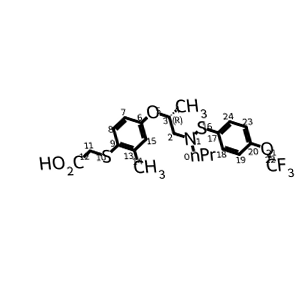 CCCN(C[C@@H](C)Oc1ccc(SCC(=O)O)c(C)c1)Sc1ccc(OC(F)(F)F)cc1